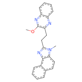 COc1nc2ccccc2nc1CCc1nc2c3ccccc3ccc2n1C